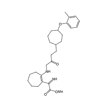 COC(=O)C(=N)C1=C(NCC(=O)CCC2CCCC(Oc3ccccc3C)CC2)CCCCC1